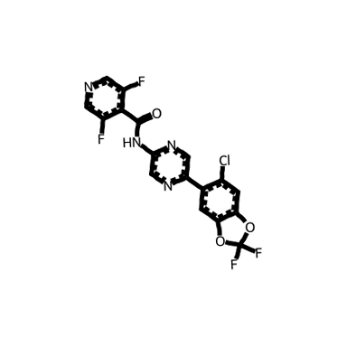 O=C(Nc1cnc(-c2cc3c(cc2Cl)OC(F)(F)O3)cn1)c1c(F)cncc1F